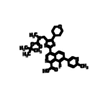 Cc1ccc(-c2ccc3c(-c4nc(CN(C)C(=O)OC(C)(C)C)c(C5CCOCC5)s4)cnc(C(=O)O)c3c2F)cn1